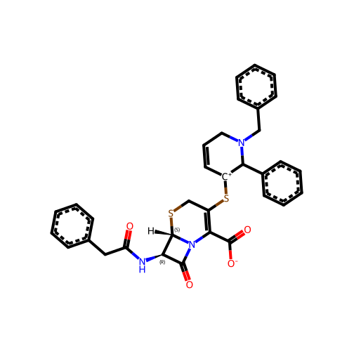 O=C(Cc1ccccc1)N[C@@H]1C(=O)N2C(C(=O)[O-])=C(S[C+]3C=CCN(Cc4ccccc4)C3c3ccccc3)CS[C@@H]12